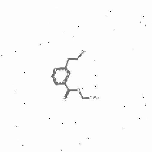 COCOC(=O)c1cccc(CCBr)c1